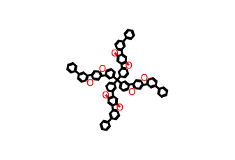 C1=CC(C(C2=CCC3Oc4cc5c(cc4C3=C2)oc2ccc(-c3ccccc3)cc25)(c2ccc3oc4cc5c(cc4c3c2)oc2ccc(-c3ccccc3)cc25)c2ccc3oc4cc5c(cc4c3c2)oc2ccc(-c3ccccc3)cc25)Cc2c1oc1cc3c(cc21)oc1ccc(-c2ccccc2)cc13